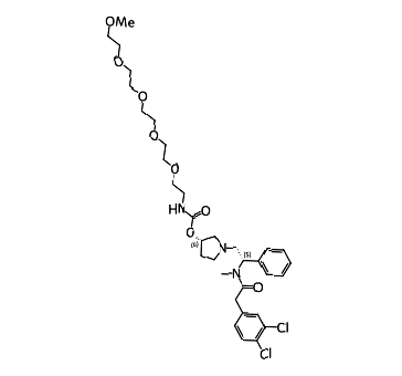 COCCOCCOCCOCCOCCNC(=O)O[C@H]1CCN(C[C@H](c2ccccc2)N(C)C(=O)Cc2ccc(Cl)c(Cl)c2)C1